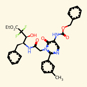 CCOC(=O)C(F)(F)[C@@H](O)[C@H](Cc1ccccc1)NC(=O)Cn1c(-c2cccc(C)c2)ncc(NC(=O)OCc2ccccc2)c1=O